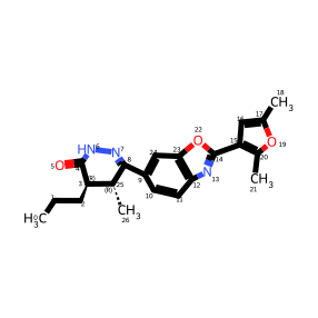 CCC[C@H]1C(=O)NN=C(c2ccc3nc(-c4cc(C)oc4C)oc3c2)[C@@H]1C